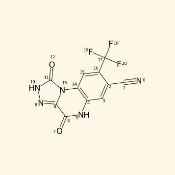 N#Cc1cc2[nH]c(=O)c3n[nH]c(=O)n3c2cc1C(F)(F)F